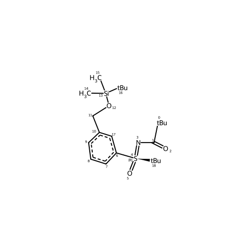 CC(C)(C)C(=O)N=[S@](=O)(c1cccc(CO[Si](C)(C)C(C)(C)C)c1)C(C)(C)C